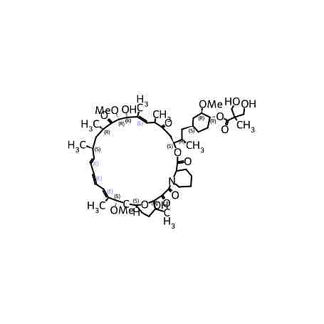 CO[C@H]1C[C@@H]2CCC(C)[C@@](O)(O2)C(=O)C(=O)N2CCCCC2C(=O)O[C@H]([C@H](C)C[C@@H]2CC[C@@H](OC(=O)C(C)(CO)CO)[C@H](OC)C2)CC(=O)C(C)/C=C(\C)[C@@H](O)[C@@H](OC)C(=O)[C@H](C)C[C@H](C)/C=C/C=C/C=C/1C